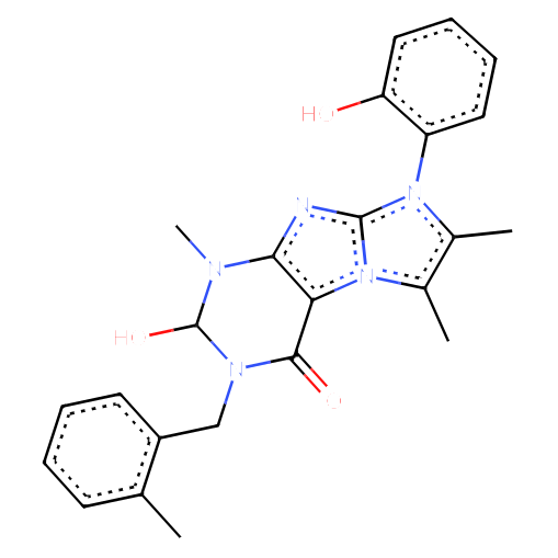 Cc1ccccc1CN1C(=O)c2c(nc3n(-c4ccccc4O)c(C)c(C)n23)N(C)C1O